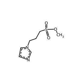 COS(=O)(=O)CCCn1ccnc1